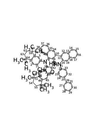 Cc1cc2c(cc1N1c3c(c(-c4cc5ccccc5cc4Nc4ccc(-c5ccccc5)cc4)cc4ccccc34)Bc3oc4cc5c(cc4c31)C(C)(C)CCC5(C)C)C(C)(C)CCC2(C)C